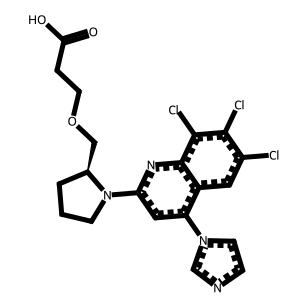 O=C(O)CCOC[C@@H]1CCCN1c1cc(-n2ccnc2)c2cc(Cl)c(Cl)c(Cl)c2n1